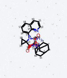 NC(=O)C12CC3CC(C1)C(NC(=O)C1(N(c4cccc5cccnc45)[SH](=O)=O)CC1)C(C3)C2